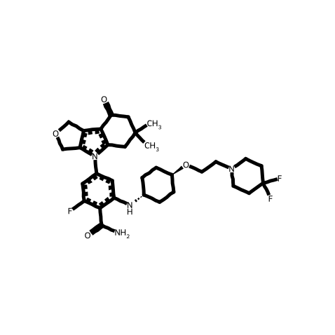 CC1(C)CC(=O)c2c3c(n(-c4cc(F)c(C(N)=O)c(N[C@H]5CC[C@H](OCCN6CCC(F)(F)CC6)CC5)c4)c2C1)COC3